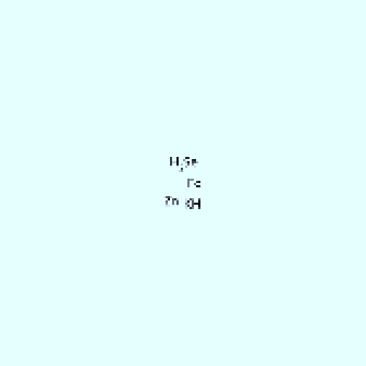 [Fe].[KH].[SeH2].[Zn]